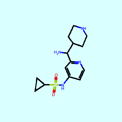 NC(c1cc(NS(=O)(=O)C2CC2)ccn1)C1CCNCC1